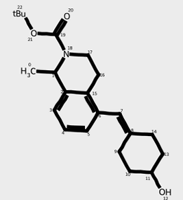 CC1c2cccc(C=C3CCC(O)CC3)c2CCN1C(=O)OC(C)(C)C